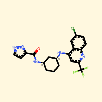 O=C(N[C@@H]1CCC[C@H](Nc2cc(C(F)(F)F)nc3ccc(Cl)cc23)C1)c1cc[nH]n1